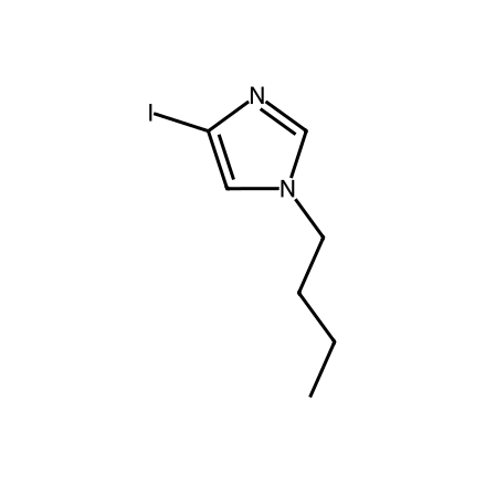 CCCCn1cnc(I)c1